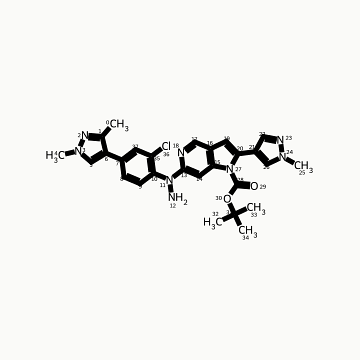 Cc1nn(C)cc1-c1ccc(N(N)c2cc3c(cn2)cc(-c2cnn(C)c2)n3C(=O)OC(C)(C)C)c(Cl)c1